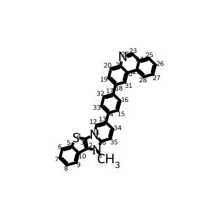 CN1c2c(sc3ccccc23)N2C=C(c3ccc(-c4ccc5ncc6ccccc6c5c4)cc3)C=CC12